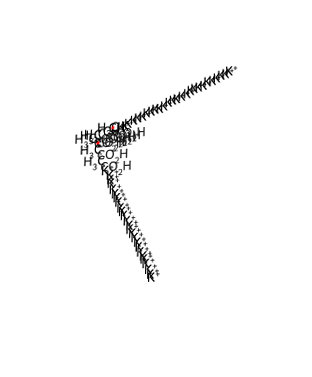 CC(=O)O.CC(=O)O.CC(=O)O.CC(=O)O.CC(=O)O.CC(=O)O.CC(=O)O.CC(=O)O.[K+].[K+].[K+].[K+].[K+].[K+].[K+].[K+].[K+].[K+].[K+].[K+].[K+].[K+].[K+].[K+].[K+].[K+].[K+].[K+].[K+].[K+].[K+].[K+].[K+].[K+].[K+].[K+].[K+].[K+].[K+].[K+].[K+].[K+].[K+].[K+].[K+].[K+].[K+].[K+].[K+].[K+].[K+].[K+].[K+].[K+].[K+].[K+].[K+].[K+].[K+]